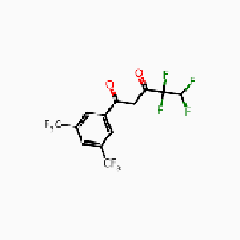 O=C(CC(=O)C(F)(F)C(F)F)c1cc(C(F)(F)F)cc(C(F)(F)F)c1